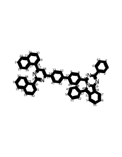 c1ccc(-c2nc(-c3ccc(-c4ccc(-c5cc(-c6cccc7ccccc67)nc(-c6cccc7ccccc67)n5)cc4)cc3)n3c(-c4ccccc4)c4ccccc4c3n2)cc1